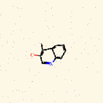 Cc1c([O])cnc2ccccc12